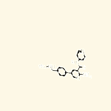 CC(C)(C)NCc1ccc(-c2cnc(N)c(C(=O)Nc3ccncc3)c2)cc1